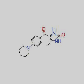 Cc1[nH]c(=O)[nH]c1C(=O)c1ccc(N2CCCCC2)cc1